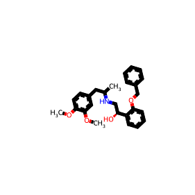 COc1ccc(CC(C)NC[C@H](O)c2ccccc2OCc2ccccc2)cc1OC